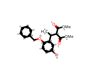 COC(=O)C(C(=O)OC)C(C)c1cc(Br)ccc1OCc1ccccc1